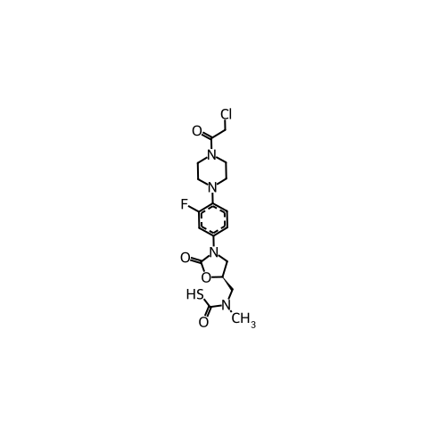 CN(C[C@@H]1CN(c2ccc(N3CCN(C(=O)CCl)CC3)c(F)c2)C(=O)O1)C(=O)S